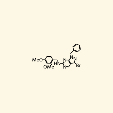 COc1ccc(CNc2ncc3c(Br)nn(Cc4ccccc4)c3n2)c(OC)c1